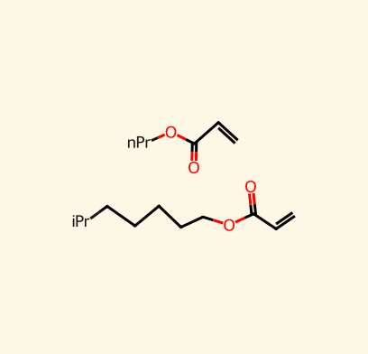 C=CC(=O)OCCC.C=CC(=O)OCCCCCC(C)C